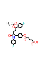 CC(=O)OC(CCC1C(=O)N(c2ccc(F)cc2)C1c1ccc(OC(=O)CCCC(=O)O)cc1)c1ccc(F)cc1